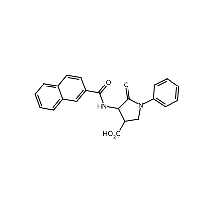 O=C(NC1C(=O)N(c2ccccc2)CC1C(=O)O)c1ccc2ccccc2c1